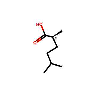 CC(C)CC[C@H](C)C(=O)O